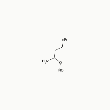 [CH2]CCCCC(N)ON=O